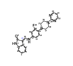 O=C1Nc2ccccc2/C1=C\Nc1ccc(N2CCN(c3ncccn3)CC2)c(F)c1